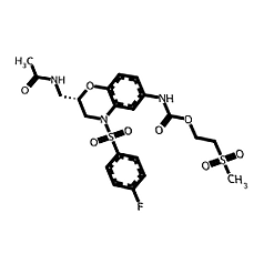 CC(=O)NC[C@H]1CN(S(=O)(=O)c2ccc(F)cc2)c2cc(NC(=O)OCCS(C)(=O)=O)ccc2O1